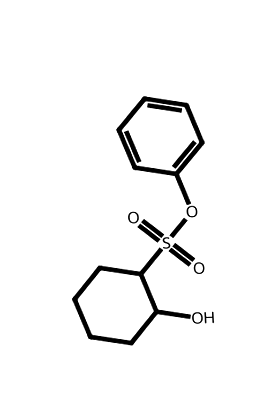 O=S(=O)(Oc1ccccc1)C1CCCCC1O